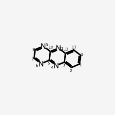 c1ccc2nc3nccnc3nc2c1